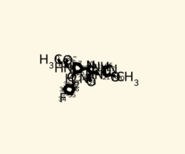 CC[S+]([O-])Nc1ccc(-c2n[nH]c(Nc3ccnc(OC)c3)c2C(N)=O)cc1OCc1ccc(F)cc1